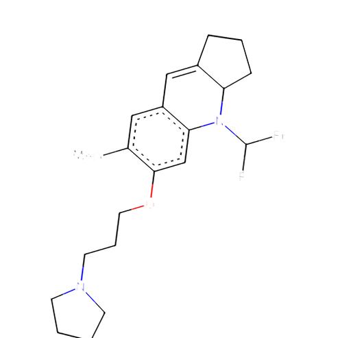 CCC(CC)N1c2cc(OCCCN3CCCC3)c(OC)cc2C=C2CCCC21